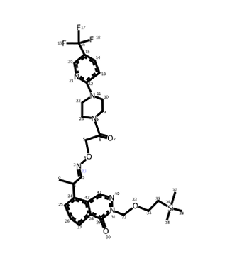 CC(/C=N/OCC(=O)N1CCN(c2ccc(C(F)(F)F)cn2)CC1)c1cccc2c(=O)n(COCC[Si](C)(C)C)ncc12